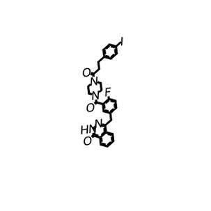 O=C(CCc1ccc(I)cc1)N1CCN(C(=O)c2cc(Cc3n[nH]c(=O)c4ccccc34)ccc2F)CC1